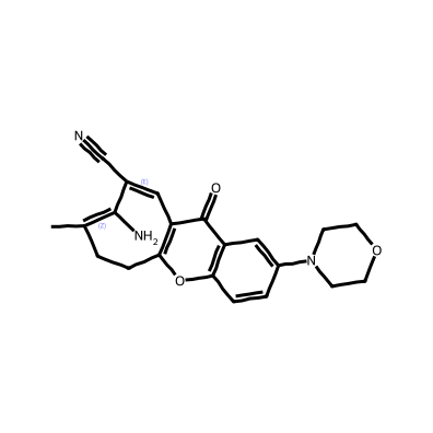 C/C1=C(N)\C(C#N)=C/c2c(oc3ccc(N4CCOCC4)cc3c2=O)CC1